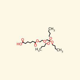 CCCCOC(COCCOC(=O)CCCCC(=O)O)(OCCCC)OCCCC